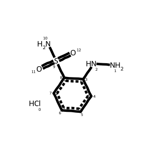 Cl.NNc1ccccc1S(N)(=O)=O